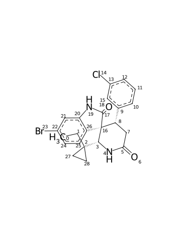 CCC1([C@H]2NC(=O)C[C@@H](c3cccc(Cl)c3)[C@]23C(=O)Nc2cc(Br)ccc23)CC1